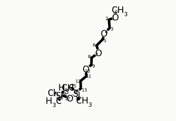 COCCOCCOCCOCCC[Si](C)(C)O[Si](C)(C)Cl